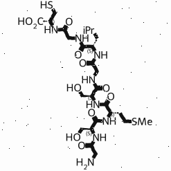 CSCC[C@H](NC(=O)[C@H](CO)NC(=O)CN)C(=O)N[C@@H](CO)C(=O)NCC(=O)N[C@@H](CC(C)C)C(=O)NCC(=O)N[C@@H](CS)C(=O)O